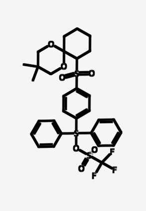 CC1(C)COC2(CCCCC2S(=O)(=O)c2ccc(S(OS(=O)(=O)C(F)(F)F)(c3ccccc3)c3ccccc3)cc2)OC1